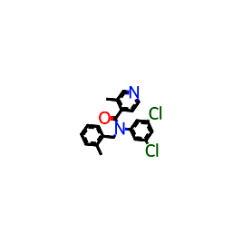 Cc1ccccc1CN(C(=O)c1ccncc1C)c1cc(Cl)cc(Cl)c1